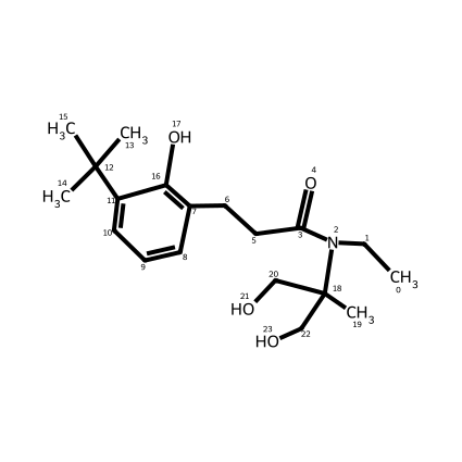 CCN(C(=O)CCc1cccc(C(C)(C)C)c1O)C(C)(CO)CO